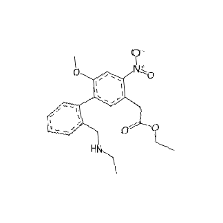 CCNCc1ccccc1-c1cc(CC(=O)OCC)c([N+](=O)[O-])cc1OC